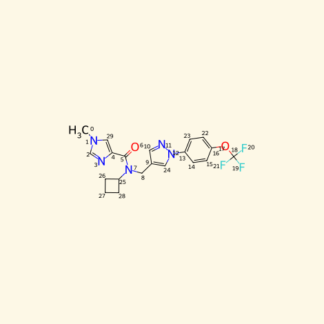 Cn1cnc(C(=O)N(Cc2cnn(-c3ccc(OC(F)(F)F)cc3)c2)C2CCC2)c1